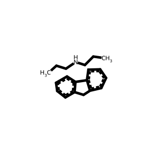 CCCNCCC.c1ccc2c(c1)Cc1ccccc1-2